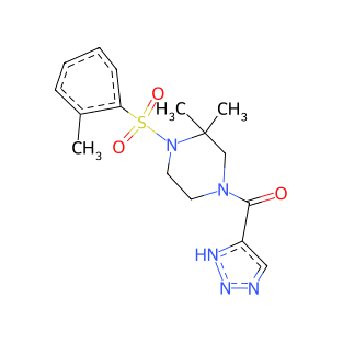 Cc1ccccc1S(=O)(=O)N1CCN(C(=O)c2cnn[nH]2)CC1(C)C